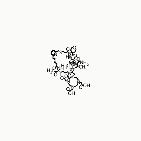 CC[C@H](C)[C@H](NC(=O)[C@H](CC(C)C)NC(=O)C1(NC(=O)CCSCc2cccc(CSCCC(=O)N[C@H](CCCCNC(=O)CN3CCN(CC(=O)O)CCN(CC(=O)O)CCN(CC(=O)O)CC3)C(N)=O)n2)CCOCC1)C(N)=O